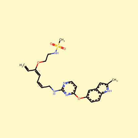 C=C/C(=C\C=C/CNc1nccc(Oc2ccc3[nH]c(C)cc3c2)n1)OCCNS(C)(=O)=O